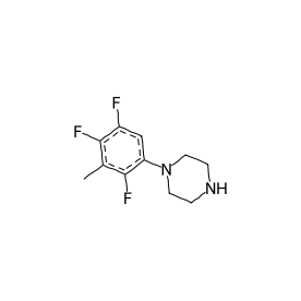 Cc1c(F)c(F)cc(N2CCNCC2)c1F